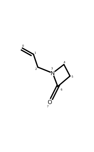 C=CCN1CCC1=O